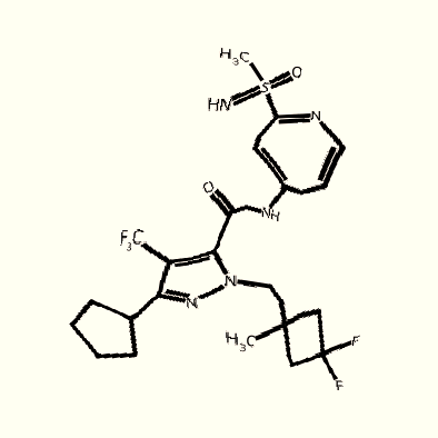 CC1(Cn2nc(C3CCCC3)c(C(F)(F)F)c2C(=O)Nc2ccnc(S(C)(=N)=O)c2)CC(F)(F)C1